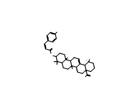 CC1(C)C(OC(=O)/C=C\c2ccc(O)cc2)CCC2(C)C1CCC1(C)C3CCC4(C(=O)O)CCC[C@@](C)(O)C4C3=CCC12